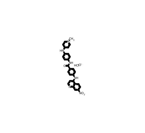 C[n+]1ccc(Nc2ccc(NC(=O)c3ccc(Nc4ccnc5cc([N+](=O)[O-])ccc45)cc3)cc2)cc1.Cl.[Cl-]